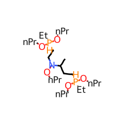 CCCON(CC[PH](CC)(OCCC)OCCC)C(C)CC[PH](CC)(OCCC)OCCC